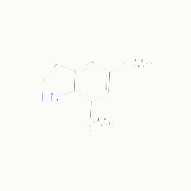 COc1cc(OC)c2[nH]c[c]c2c1